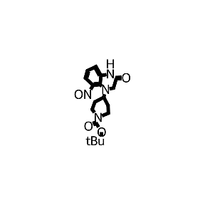 CC(C)(C)OC(=O)N1CCC(N2CC(=O)Nc3cccc(N=O)c32)CC1